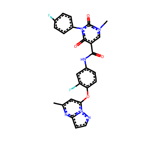 Cc1cc(Oc2ccc(NC(=O)c3cn(C)c(=O)n(-c4ccc(F)cc4)c3=O)cc2F)n2nccc2n1